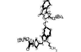 C=CC[n+]1c2ccc(OC[C@H](ON3C(=O)c4ccccc4C3=O)C(=O)OC(C)(C)C)cc2cn1CC1CN(C(=O)OC(C)(C)C)C1